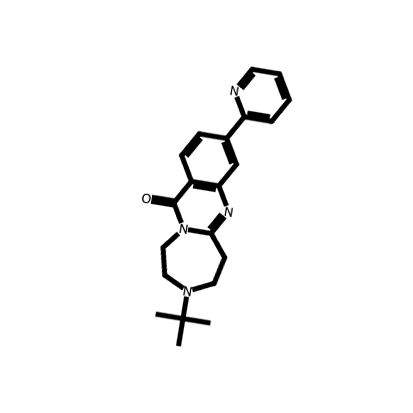 CC(C)(C)N1CCc2nc3cc(-c4ccccn4)ccc3c(=O)n2CC1